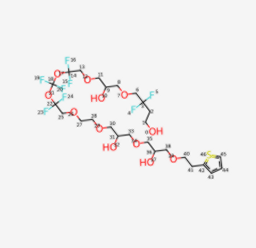 OCCC(F)(F)COCC(O)COCC(F)(F)OC(F)(F)OC(F)(F)COCCOCC(O)COCC(O)COCCc1cccs1